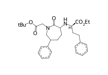 CCOC(=O)[C@@H](CCc1ccccc1)NC1CCC(c2ccccc2)CN(CC(=O)OC(C)(C)C)C1=O